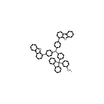 Cc1cccc(C2(c3cccc(N(c4ccc(-c5cccc6c5oc5ccccc56)cc4)c4ccc(-c5cccc6c5oc5ccccc56)cc4)c3)c3ccccc3-c3ccccc32)c1